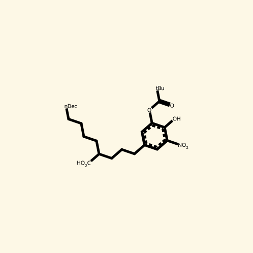 CCCCCCCCCCCCCCC(CCCc1cc(OC(=O)C(C)(C)C)c(O)c([N+](=O)[O-])c1)C(=O)O